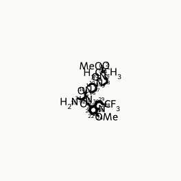 COC(=O)C(C)(C)N1CCCN(C2CCN(C(=O)c3nc(-c4ccc(OC)c5nc(C(F)(F)F)ccc45)oc3CN)CC2)C1=O